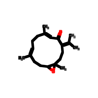 CC(C)=C1CCC2(C)OC2CC/C(C)=C/CC/C(C)=C/C1=O